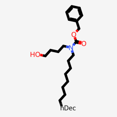 CCCCCCCCCCCCCCCCCCN(CCCCO)C(=O)OCc1ccccc1